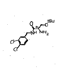 CC(C)(C)OC[C@@H](N)C(=O)NCc1ccc(Cl)c(Cl)c1